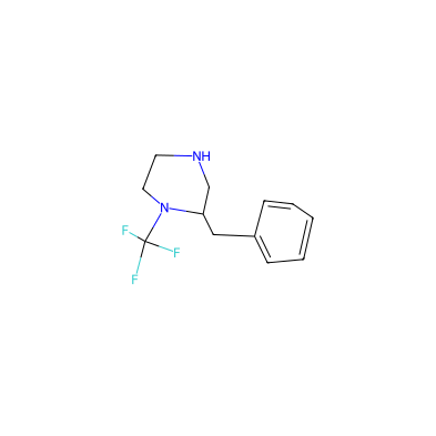 FC(F)(F)N1CCNCC1Cc1ccccc1